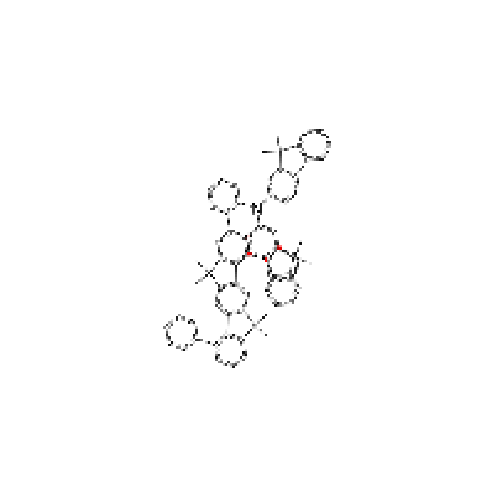 CC1(C)c2ccccc2-c2ccc(N(c3ccc4c(c3)C(C)(C)c3ccccc3-4)c3ccccc3-c3cc(-c4ccccc4)c4c(c3)C(C)(C)c3cc5c(cc3-4)C(C)(C)c3cccc(-c4ccccc4)c3-5)cc21